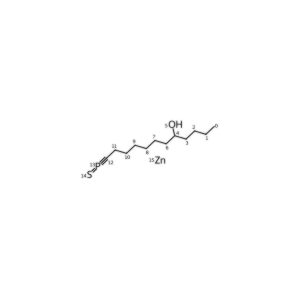 CCCCC(O)CCCCCCC#P=S.[Zn]